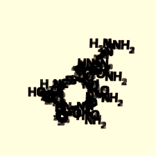 NC(=O)CC[C@@H]1NC(=O)[C@H](Cc2ccccc2)NC(=O)[C@H](Cc2ccc(O)cc2)NC(=O)[C@@H](N)CSSC[C@@H](C(=O)N2CCC[C@H]2C(=O)N[C@@H](CCCN=C(N)N)C(=O)NCC(N)=O)NC(=O)[C@H](CCC(N)=O)NC1=O